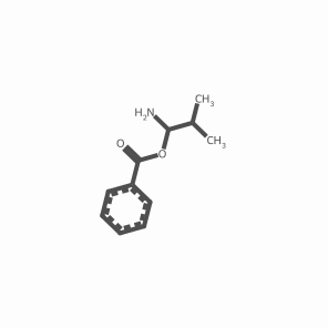 CC(C)C(N)OC(=O)c1ccccc1